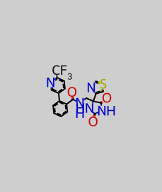 O=C1NC(=O)C(CNC(=O)c2ccccc2-c2ccc(C(F)(F)F)nc2)(c2cscn2)N1